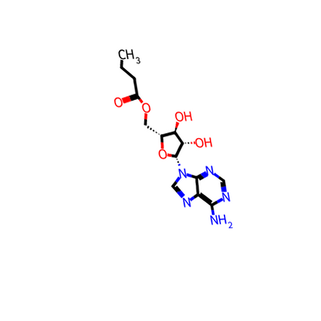 CCCC(=O)OC[C@H]1O[C@@H](n2cnc3c(N)ncnc32)[C@@H](O)[C@@H]1O